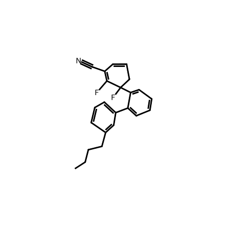 CCCCc1cccc(-c2ccccc2C2(F)CC=CC(C#N)=C2F)c1